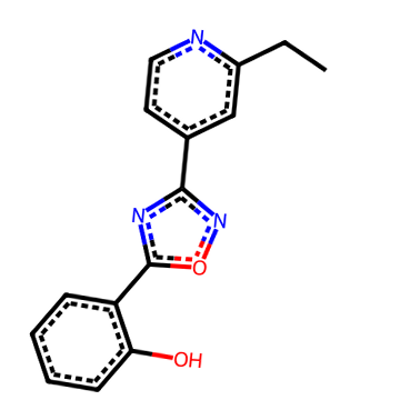 CCc1cc(-c2noc(-c3ccccc3O)n2)ccn1